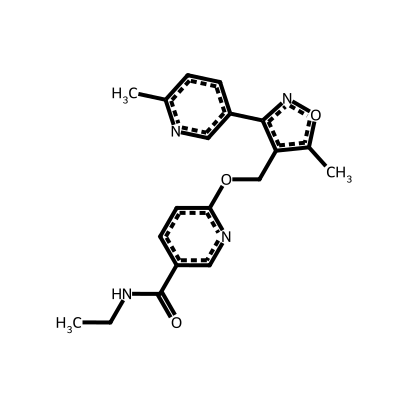 CCNC(=O)c1ccc(OCc2c(-c3ccc(C)nc3)noc2C)nc1